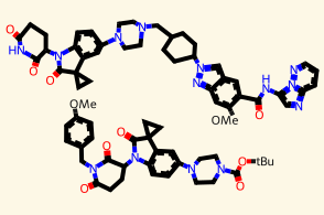 COc1cc2nn(C3CCC(CN4CCN(c5ccc6c(c5)C5(CC5)C(=O)N6C5CCC(=O)NC5=O)CC4)CC3)cc2cc1C(=O)Nc1cnc2cccnn12.COc1ccc(CN2C(=O)CCC(N3C(=O)C4(CC4)c4cc(N5CCN(C(=O)OC(C)(C)C)CC5)ccc43)C2=O)cc1